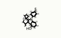 CC1COC2(CCC2)c2c1c1c(O)cccc1n2-c1ccc(F)cc1